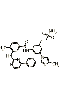 Cc1cn(-c2cc(CCS(N)(=O)=O)cc(NC(=O)c3ccc(C)c(Nc4nccc(-c5ccccc5)n4)c3)c2)cn1